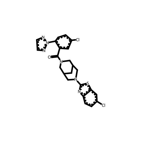 O=C(c1cc(Cl)ccc1-n1nccn1)N1CC2CC(C1)CN(c1nc3ccc(Cl)cc3s1)C2